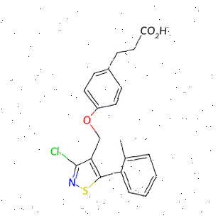 Cc1ccccc1-c1snc(Cl)c1COc1ccc(CCC(=O)O)cc1